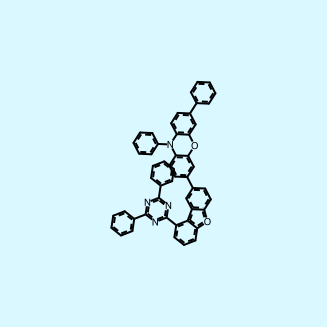 c1ccc(-c2ccc3c(c2)Oc2cc(-c4ccc5oc6cccc(-c7nc(-c8ccccc8)nc(-c8ccccc8)n7)c6c5c4)ccc2N3c2ccccc2)cc1